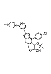 Cc1cc2nc(-c3ccnc(N4CCN(C)CC4)c3)sc2c(-c2ccc(Cl)cc2)c1[C@H](OC(C)(C)C)C(=O)O